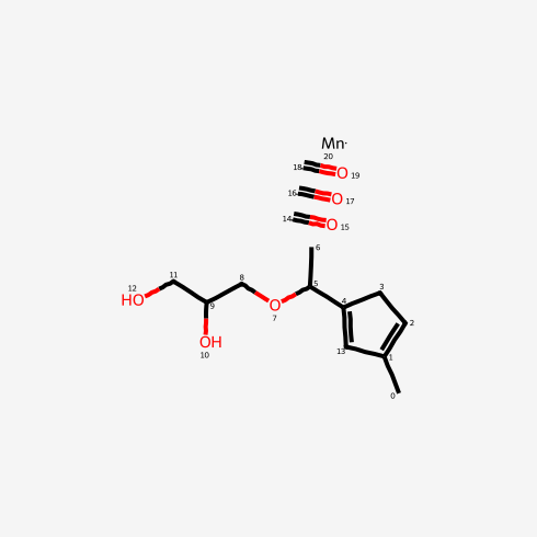 CC1=CCC(C(C)OCC(O)CO)=C1.[C]=O.[C]=O.[C]=O.[Mn]